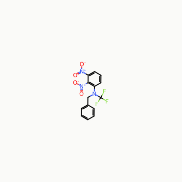 O=[N+]([O-])c1cccc(N(Cc2ccccc2)C(F)(F)F)c1[N+](=O)[O-]